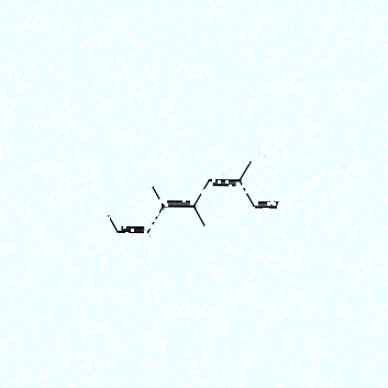 C=C\C(=C/C(C)=C(C)/C=C\C)C(C)(C)C